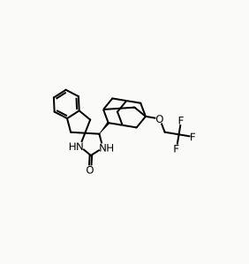 O=C1N[C@H](C2C3CC4CC2CC(OCC(F)(F)F)(C4)C3)C2(Cc3ccccc3C2)N1